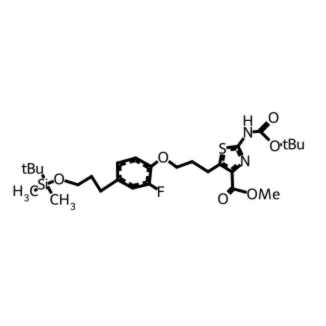 COC(=O)c1nc(NC(=O)OC(C)(C)C)sc1CCCOc1ccc(CCCO[Si](C)(C)C(C)(C)C)cc1F